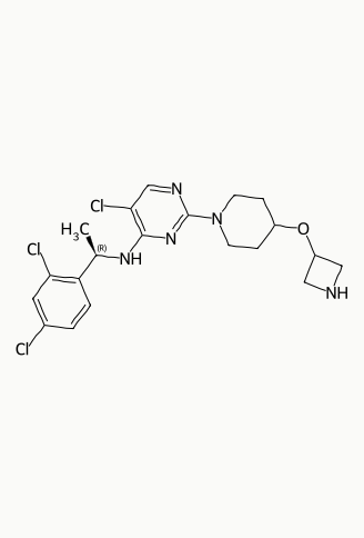 C[C@@H](Nc1nc(N2CCC(OC3CNC3)CC2)ncc1Cl)c1ccc(Cl)cc1Cl